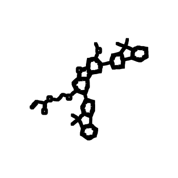 C=CC(=O)OCCOc1cc2oc3cc(OC)c(-c4ccc5c(c4)C(C)(C)c4ccccc4-5)cc3c2cc1-c1ccc2c(c1)C(C)(C)c1ccccc1-2